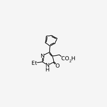 CCc1nc(-c2ccccc2)c(CC(=O)O)c(=O)[nH]1